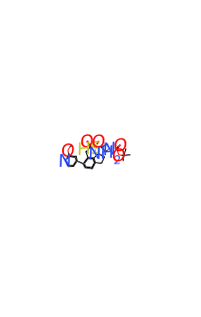 COc1cc(-c2ccc3c(c2CC(=O)[SH](N)(=O)C2CN(C(=O)OC(C)(C)C)C2)CCC3)ccn1